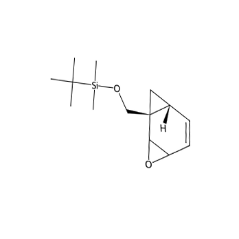 CC(C)(C)[Si](C)(C)OC[C@@]12C[C@@H]1C=CC1OC12